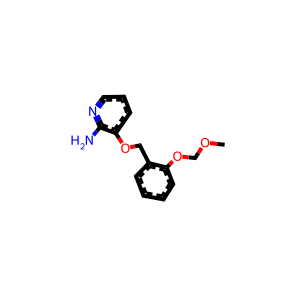 COCOc1ccccc1COc1cccnc1N